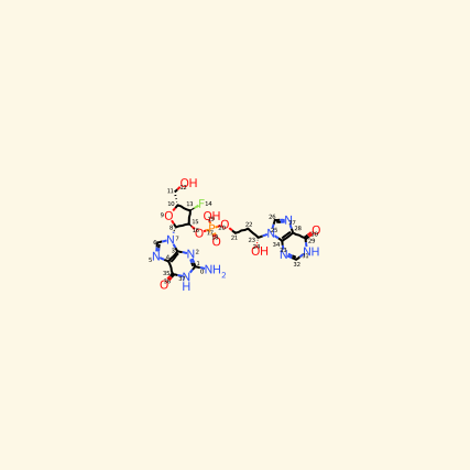 Nc1nc2c(ncn2[C@@H]2O[C@H](CO)[C@@H](F)[C@H]2OP(=O)(O)OCC[C@@H](O)n2cnc3c(=O)[nH]cnc32)c(=O)[nH]1